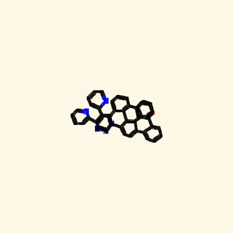 c1ccc(-c2cccc(-c3nnnc(-c4ccccn4)c3-c3ccccn3)c2-c2c(-c3ccccc3)ccc3c4ccccc4c4ccccc4c23)cc1